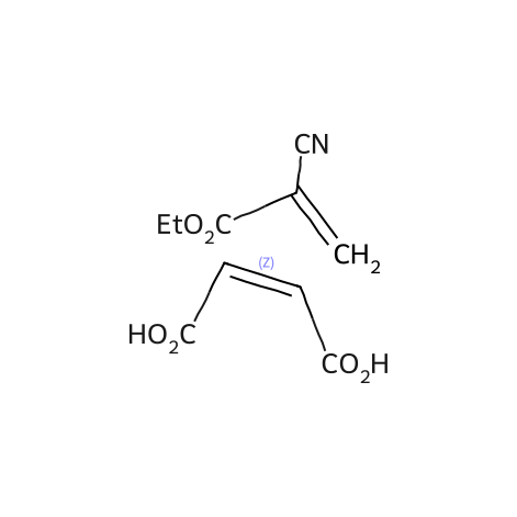 C=C(C#N)C(=O)OCC.O=C(O)/C=C\C(=O)O